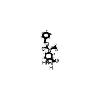 O=C(OCc1ccccc1)N(C1CC1)C1CCc2[nH][nH]c(=O)c2C1